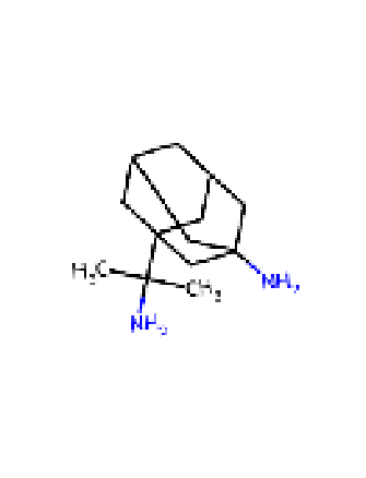 CC(C)(N)C12CC3CC(CC(N)(C3)C1)C2